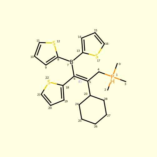 C[PH](C)(C)C/C(=C(\B(c1cccs1)c1cccs1)c1cccs1)C1CCCCC1